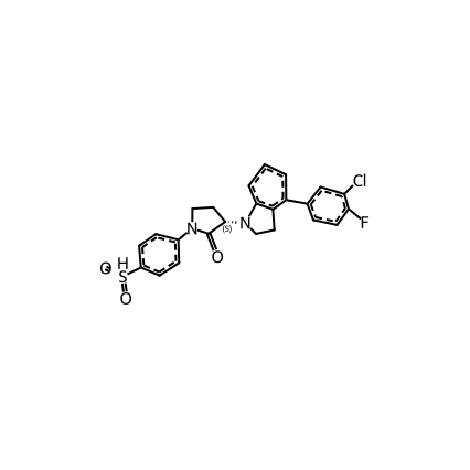 O=C1[C@@H](N2CCc3c(-c4ccc(F)c(Cl)c4)cccc32)CCN1c1ccc([SH](=O)=O)cc1